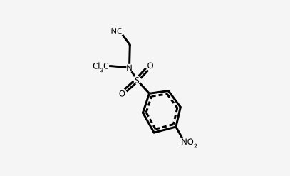 N#CCN(C(Cl)(Cl)Cl)S(=O)(=O)c1ccc([N+](=O)[O-])cc1